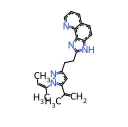 C=C(C)c1cc(CCc2nc3c(ccc4cccnc43)[nH]2)nn1/C(C)=C\C